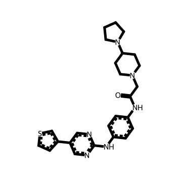 O=C(CN1CCC(N2CCCC2)CC1)Nc1ccc(Nc2ncc(-c3ccsc3)cn2)cc1